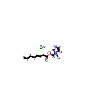 CCCCCCCC(=O)OC[N+]1(C)C=CN=C1.[Br-]